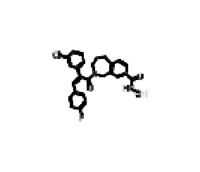 O=C(NO)c1ccc2c(c1)CN(C(=O)/C(=C\c1ccc(F)cc1)c1cccc(Cl)c1)CCC2